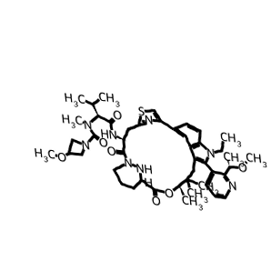 CCn1c(-c2cccnc2[C@H](C)OC)c2c3cc(ccc31)-c1csc(n1)C[C@H](NC(=O)[C@H](C(C)C)N(C)C(=O)N1CC(OC)C1)C(=O)N1CCC[C@H](N1)C(=O)O[C@H](C)C(C)(C)C2